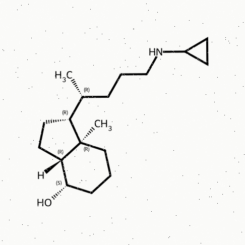 C[C@H](CCCNC1CC1)[C@H]1CC[C@H]2[C@@H](O)CCC[C@]12C